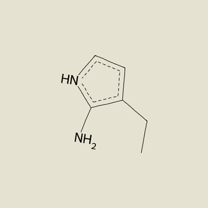 CCc1cc[nH]c1N